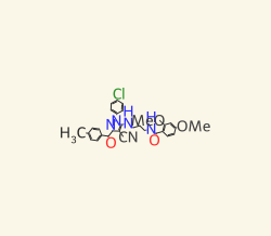 COc1ccc(C(=O)NCCCNc2c(C#N)c(C(=O)c3ccc(C)cc3)nn2-c2ccc(Cl)cc2)c(OC)c1